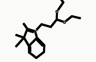 CCOC(CC[N+]1=C(C)C(C)(C)C2=CCCC=C21)OCC